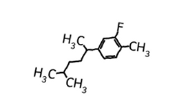 Cc1ccc(C(C)CCC(C)C)cc1F